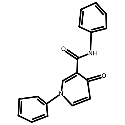 O=C(Nc1ccccc1)c1cn(-c2ccccc2)ccc1=O